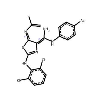 C=C(C)/N=C1/SC(Nc2c(Cl)cccc2Cl)=N/C1=C(/N)Nc1ccc(C(C)=O)cc1